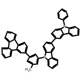 Cc1cc(-c2ccc3c4ccccc4c4ccccc4c3c2)cc(-n2c3ccccc3c3cc(-c4ccc5c(c4)c4ccccc4n5-c4ccccc4)ccc32)c1